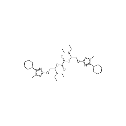 CCN(CC)C(COc1cc(C)n(C2CCCCC2)n1)OC(=O)C(=O)OC(COc1cc(C)n(C2CCCCC2)n1)N(CC)CC